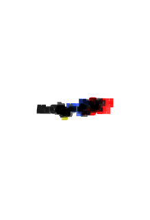 COc1ccc2c(CCNc3ncnc4c3ncn4[C@@H]3O[C@H](CO)[C@@H](O)[C@H]3O)csc2c1